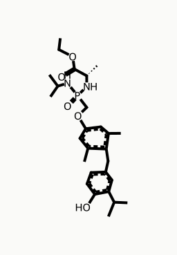 CCOC(=O)[C@H](C)NP(=O)(COc1cc(C)c(Cc2ccc(O)c(C(C)C)c2)c(C)c1)NC(C)C